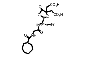 CC(C)C[C@H](NC(=O)CNC(=O)C1CCCCCC1)B1OC(=O)C(CC(=O)O)(CC(=O)O)O1